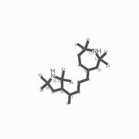 CC(CCCC1CCC(C)(C)NC(C)(C)C1)C1CC(C)(C)NC1(C)C